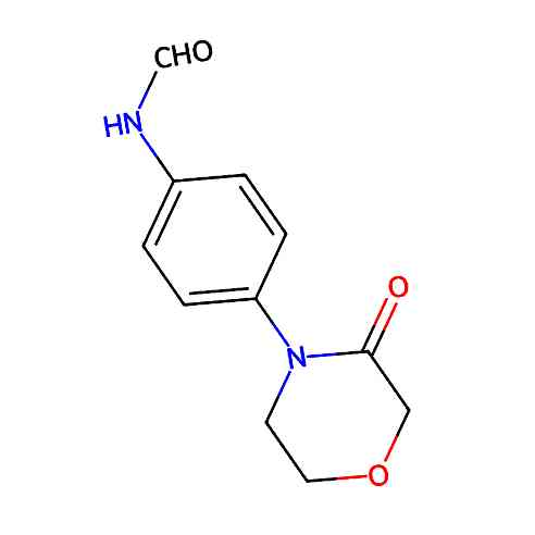 O=CNc1ccc(N2CCOCC2=O)cc1